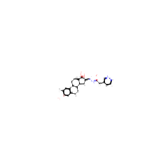 CCc1cc2c(cc1O)CCC1C2CC[C@]2(C)C(=O)C(CNC(=O)Cc3cccnc3)CC12